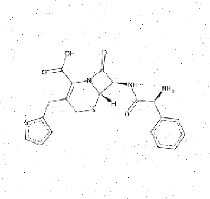 N[C@H](C(=O)N[C@@H]1C(=O)N2C(C(=O)O)=C(Cc3cccs3)CS[C@@H]12)c1ccccc1